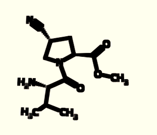 COC(=O)[C@@H]1C[C@@H](C#N)CN1C(=O)[C@@H](N)C(C)C